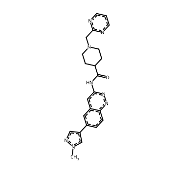 Cn1cc(-c2ccc3nnc(NC(=O)C4CCN(Cc5ncccn5)CC4)cc3c2)cn1